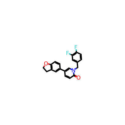 O=c1ccc(-c2ccc3c(c2)CCO3)cn1Cc1ccc(F)c(F)c1